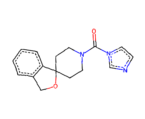 O=C(N1CCC2(CC1)OCc1ccccc12)n1ccnc1